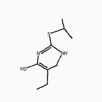 CCC1=C(O)N=C(SC(C)C)N[CH]1